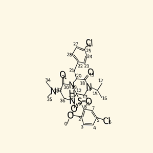 COc1ccc(Cl)cc1S(=O)(=O)C12CN(C(C)C)C(=O)C(Cc3ccc(Cl)cc3)N1C(=O)C(N(C)C)CN2